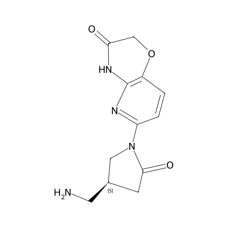 NC[C@@H]1CC(=O)N(c2ccc3c(n2)NC(=O)CO3)C1